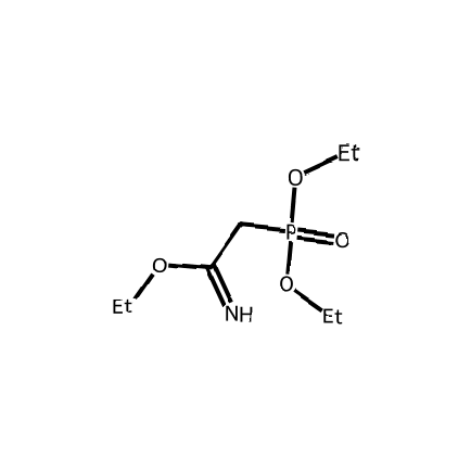 CCOC(=N)CP(=O)(OCC)OCC